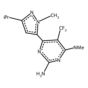 CNc1nc(N)nc(-c2cc(C(C)C)nn2C)c1C(F)(F)F